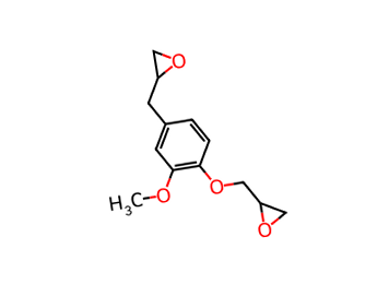 COc1cc(CC2CO2)ccc1OCC1CO1